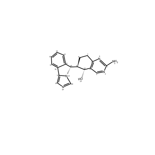 Nc1ncc2c(n1)CC[C@H]([C@H]1c3ccccc3-c3cncn31)[C@H]2O